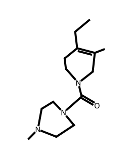 CCC1=C(C)CN(C(=O)N2CCN(C)CC2)CC1